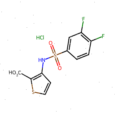 Cl.O=C(O)c1sccc1NS(=O)(=O)c1ccc(F)c(F)c1